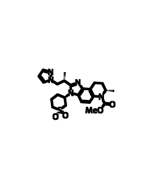 COC(=O)N1c2ccc3c(nc([C@@H](C)Cn4cccn4)n3[C@@H]3CCCS(=O)(=O)C3)c2CC[C@@H]1C